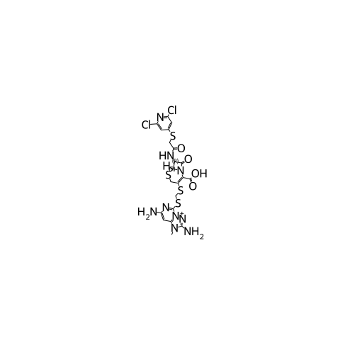 Cn1c(N)n[n+]2c(SCSC3=C(C(=O)O)N4C(=O)[C@@H](NC(=O)CSc5cc(Cl)nc(Cl)c5)[C@H]4SC3)nc(N)cc12